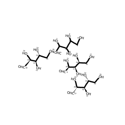 O=CC(O)C(O)C(O)CO.O=C[C@@H](O)[C@H](O)[C@@H](O)CO.O=C[C@@H](O)[C@H](O)[C@H](O)CO.O=C[C@H](O)[C@H](O)[C@H](O)CO